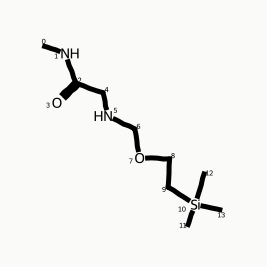 CNC(=O)CNCOCC[Si](C)(C)C